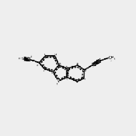 CC#Cc1ccc2sc3cc(C#N)ccc3c2c1